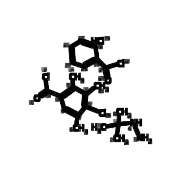 CC(C)(C)NN.Cc1cc(C(=O)Cl)c(C)c(C)c1Cl.Cl.O=C(Cl)c1ccccc1